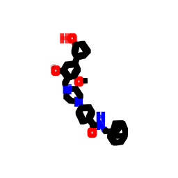 COc1cc(-c2cccc(O)c2)cc(OC)c1CN1CCN(c2ccc(C(=O)NCC34CC5CC(CC(C5)C3)C4)cc2)CC1